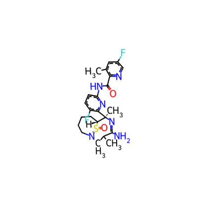 Cc1cc(F)cnc1C(=O)Nc1ccc(F)c([C@@]2(C)N=C(N)C(C)(C)[S@@]3(=O)=NCCCC[C@H]23)n1